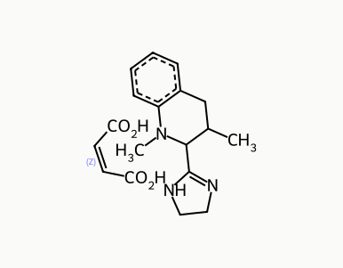 CC1Cc2ccccc2N(C)C1C1=NCCN1.O=C(O)/C=C\C(=O)O